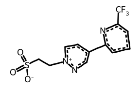 O=S(=O)([O-])CC[n+]1ccc(-c2cccc(C(F)(F)F)n2)cn1